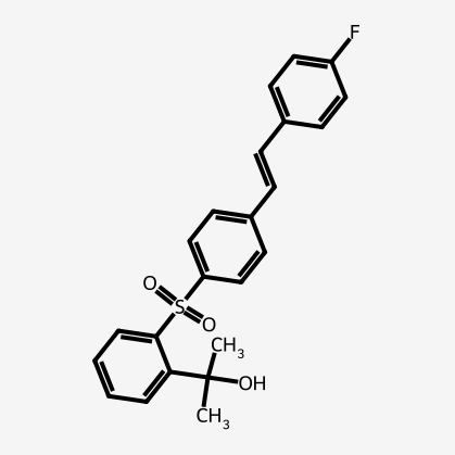 CC(C)(O)c1ccccc1S(=O)(=O)c1ccc(/C=C/c2ccc(F)cc2)cc1